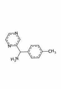 Cc1ccc(C(N)c2cnccn2)cc1